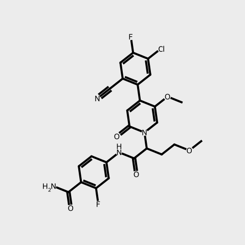 COCCC(C(=O)Nc1ccc(C(N)=O)c(F)c1)n1cc(OC)c(-c2cc(Cl)c(F)cc2C#N)cc1=O